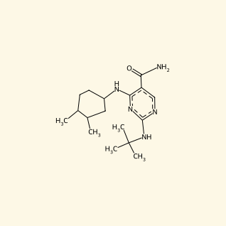 CC1CCC(Nc2nc(NC(C)(C)C)ncc2C(N)=O)CC1C